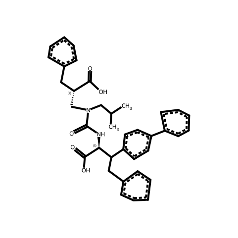 CC(C)CN(C[C@H](Cc1ccccc1)C(=O)O)C(=O)N[C@H](C(=O)O)C(Cc1ccccc1)c1ccc(-c2ccccc2)cc1